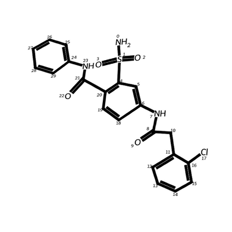 NS(=O)(=O)c1cc(NC(=O)Cc2ccccc2Cl)ccc1C(=O)Nc1ccccc1